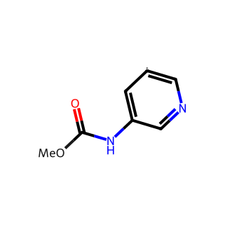 COC(=O)Nc1c[c]cnc1